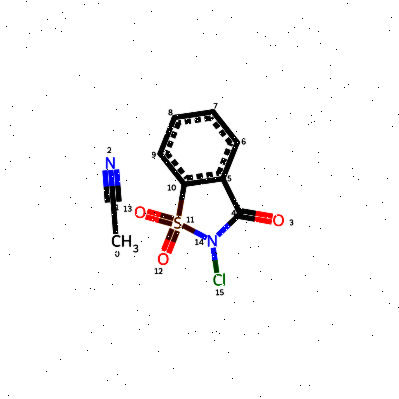 CC#N.O=C1c2ccccc2S(=O)(=O)N1Cl